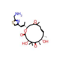 C/C(=C\c1csc(CN)n1)[C@@H]1CC2OC2(C)C/C=C/[C@H](C)[C@H](O)[C@@H](C)C(=O)C(C)(C)[C@@H](O)CC(=O)O1